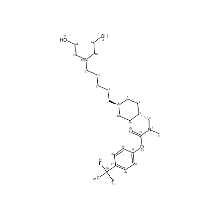 CN(C[C@H]1CC[C@H](CCCCCN(CCO)CCO)CC1)C(=O)Oc1ccc(C(F)(F)F)cc1